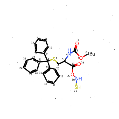 CC(C)(C)OC(=O)NC(CSC(c1ccccc1)(c1ccccc1)c1ccccc1)C(=O)ONS